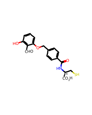 O=Cc1c(O)cccc1OCc1ccc(C(=O)N[C@@H](CS)C(=O)O)cc1